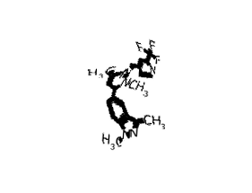 CC1=CC(c2ccc3c(c2)c(C)nn3C)N(C)N1Cc1ccnc(C(F)(F)F)c1